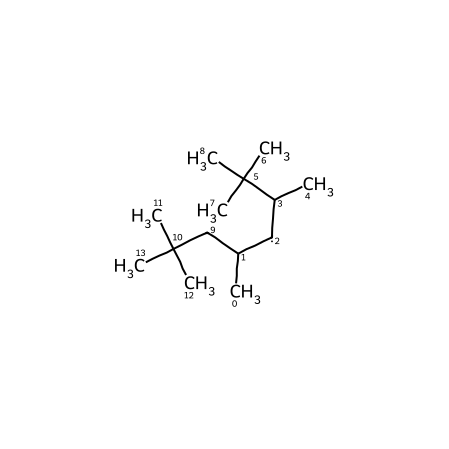 CC([CH]C(C)C(C)(C)C)CC(C)(C)C